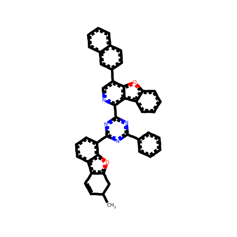 CC1C=Cc2c(oc3c(-c4nc(-c5ccccc5)nc(-c5ncc(-c6ccc7ccccc7c6)c6oc7ccccc7c56)n4)cccc23)C1